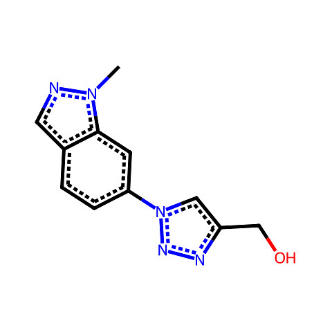 Cn1ncc2ccc(-n3cc(CO)nn3)cc21